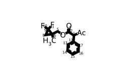 CC(=O)C(C(=O)OCC1(C)CC1(F)F)c1ccccc1